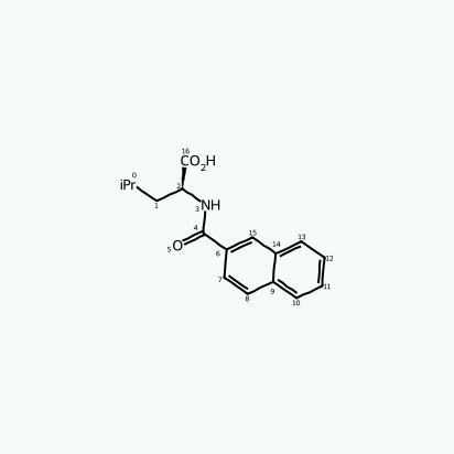 CC(C)C[C@H](NC(=O)c1ccc2ccccc2c1)C(=O)O